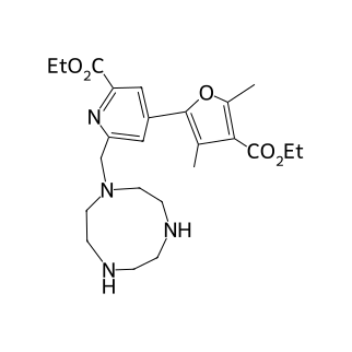 CCOC(=O)c1cc(-c2oc(C)c(C(=O)OCC)c2C)cc(CN2CCNCCNCC2)n1